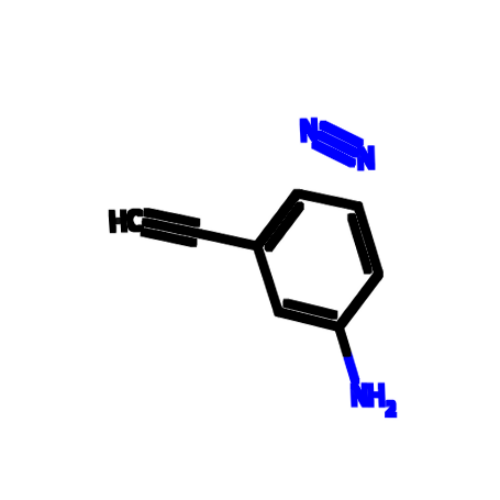 C#Cc1cccc(N)c1.N#N